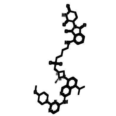 COC1CCN(c2nccc(Nc3cc4c(C(C)C)ccc(N5C[C@H](CS(=O)(=O)CCCCNc6cccc7c6C(=O)N(C6CCC(=O)NC6=O)C7=O)[C@H]5C)c4cn3)n2)CC1